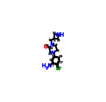 Nc1cc(N2CCN(CC3CNC3)C(=O)C2)ccc1Br